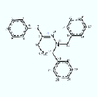 CC(=O)C/C(Cc1ccccc1)=N\N(Cc1ccccc1)Cc1ccccc1